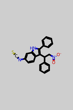 O=[N+]([O-])CC(c1ccccc1)c1c(-c2ccccc2)[nH]c2cc(N=C=S)ccc12